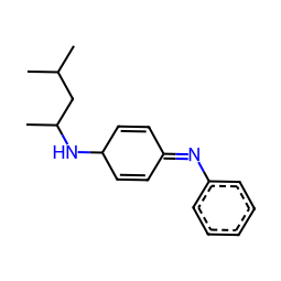 CC(C)CC(C)NC1C=CC(=Nc2ccccc2)C=C1